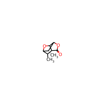 CC1C2C(=O)OC3C2OC1[C@H]3C